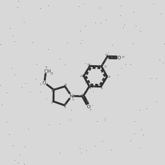 COC1CCN(C(=O)c2ccc(C=O)cc2)C1